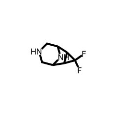 FC1(F)C2C3CNCC(N3)C21